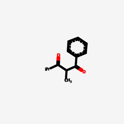 CC(C)C(=O)C(C)C(=O)c1ccccc1